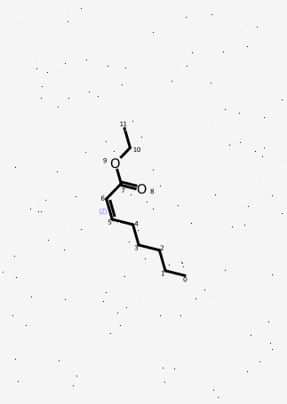 CCCCC/C=C\C(=O)OCC